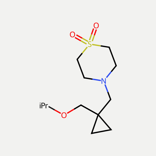 CC(C)OCC1(CN2CCS(=O)(=O)CC2)CC1